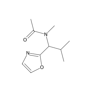 CC(=O)N(C)C(c1ncco1)C(C)C